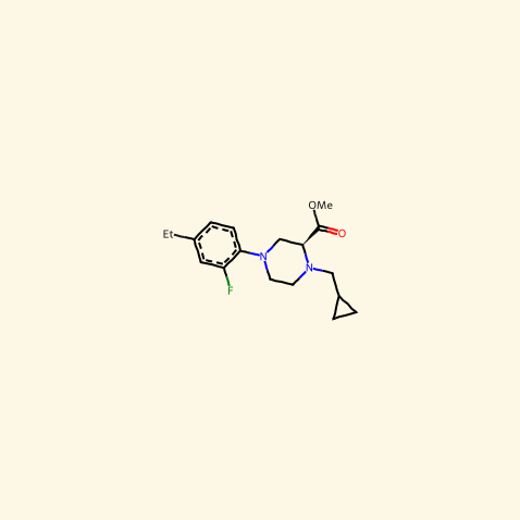 CCc1ccc(N2CCN(CC3CC3)[C@H](C(=O)OC)C2)c(F)c1